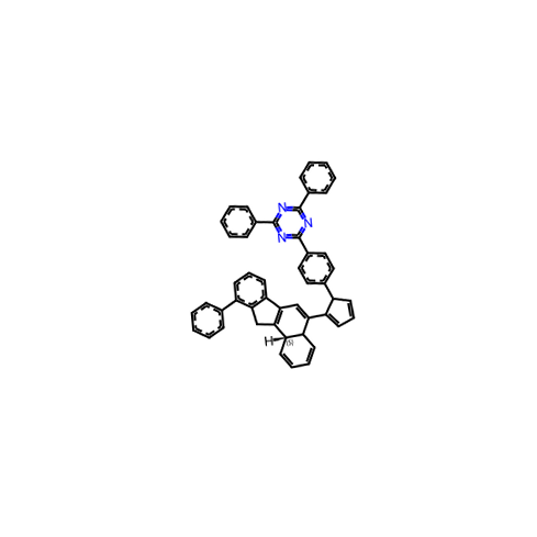 C1=CC(c2ccc(-c3nc(-c4ccccc4)nc(-c4ccccc4)n3)cc2)C(C2=CC3=C(Cc4c3cccc4-c3ccccc3)[C@H]3C=CC=CC23)=C1